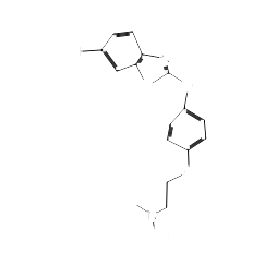 CN(C)CCOc1ccc(Oc2nc3ccc(Cl)cc3s2)cc1